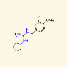 COc1ccc(CNC(N)NC2CCCC2)cc1Br